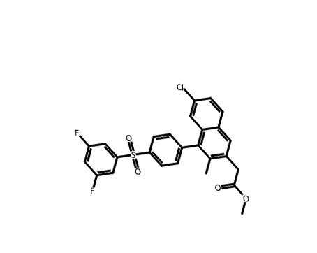 COC(=O)Cc1cc2ccc(Cl)cc2c(-c2ccc(S(=O)(=O)c3cc(F)cc(F)c3)cc2)c1C